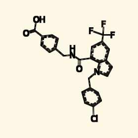 O=C(O)c1ccc(CNC(=O)c2cc(C(F)(F)F)cc3ccn(Cc4ccc(Cl)cc4)c23)cc1